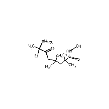 CCCCCCC(C)(CC)C(=O)CC(C)(C)CC(C)(C)C(=O)NO